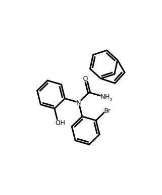 C1=Cc2cccc1c2.NC(=O)N(c1ccccc1O)c1ccccc1Br